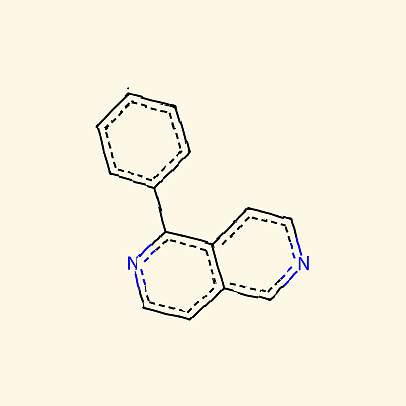 [c]1ccc(-c2nccc3cnccc23)cc1